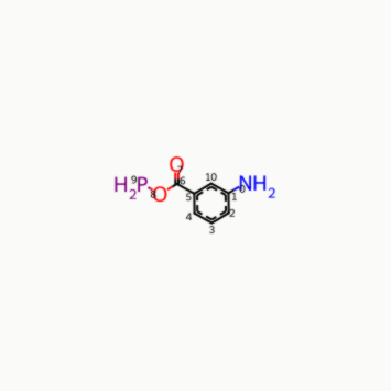 Nc1cccc(C(=O)OP)c1